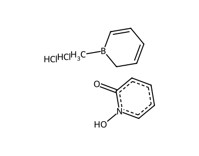 CB1C=CC=CC1.Cl.Cl.O=c1ccccn1O